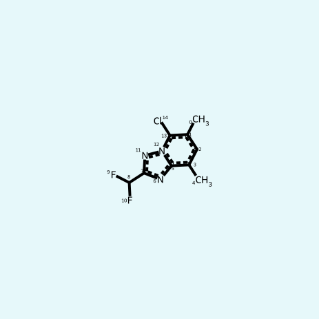 Cc1cc(C)c2nc(C(F)F)nn2c1Cl